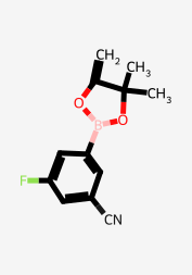 C=C1OB(c2cc(F)cc(C#N)c2)OC1(C)C